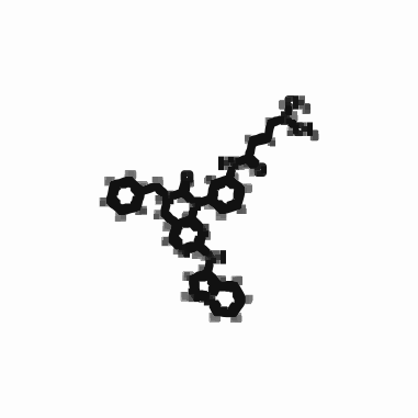 CN(C)C/C=C/C(=O)Nc1cccc(N2C(=O)N(Cc3ccccc3)Cc3cnc(Nc4cnn5ccccc45)nc32)c1